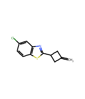 C=C1CC(c2nc3cc(Cl)ccc3s2)C1